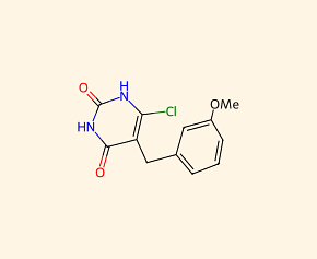 COc1cccc(Cc2c(Cl)[nH]c(=O)[nH]c2=O)c1